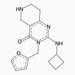 O=c1c2c(nc(NC3CCC3)n1Cc1ccco1)CCNC2